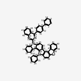 c1ccc(-c2ccc(-c3nc(-n4c5ccccc5c5c4ccc4c6c7c(ccc6n(-c6ccccc6)c45)oc4ccccc47)nc4ccccc34)cc2)cc1